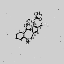 COC1C2CCCC=C2[N+]([O-])=Cc2cc(C)c(OC(C)=O)n21